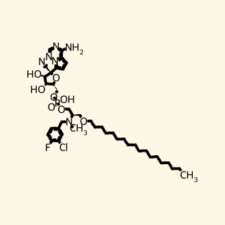 CCCCCCCCCCCCCCCCCCOC[C@H](COP(=O)(O)OC[C@H]1O[C@@](C#N)(c2ccc3c(N)ncnn23)[C@H](O)[C@@H]1O)N(C)Cc1ccc(F)c(Cl)c1